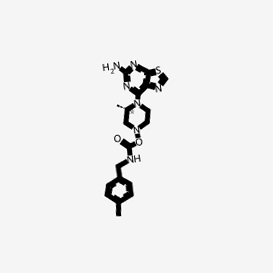 Cc1ccc(CNC(=O)ON2CCN(c3nc(N)nc4scnc34)[C@@H](C)C2)cc1